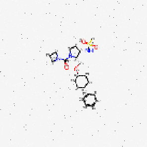 CS(=O)(=O)N[C@H]1CCN(C(=O)N2CCC2)[C@H]1CO[C@H]1CC[C@@H](c2ccccc2)CC1